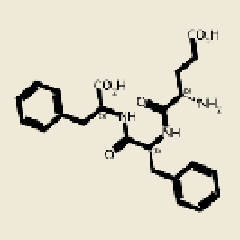 N[C@@H](CCC(=O)O)C(=O)N[C@@H](Cc1ccccc1)C(=O)N[C@@H](Cc1ccccc1)C(=O)O